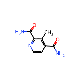 Cc1c(C(N)=O)ccnc1C(N)=O